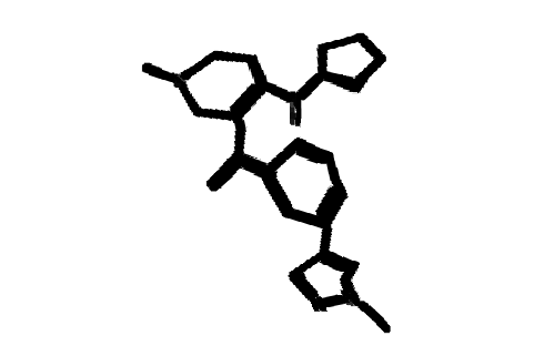 C=C(C1=C(NC2CCCC2)CCN(C)C1)c1cccc(-c2cnn(C)c2)c1